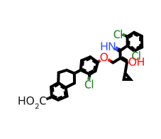 N=C(/C(COc1ccc(C2CCc3cc(C(=O)O)ccc3C2)c(Cl)c1)=C(\O)C1CC1)c1c(Cl)cccc1Cl